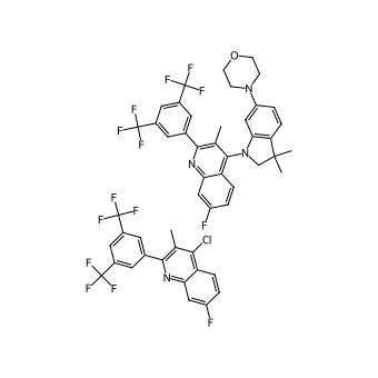 Cc1c(-c2cc(C(F)(F)F)cc(C(F)(F)F)c2)nc2cc(F)ccc2c1Cl.Cc1c(-c2cc(C(F)(F)F)cc(C(F)(F)F)c2)nc2cc(F)ccc2c1N1CC(C)(C)c2ccc(N3CCOCC3)cc21